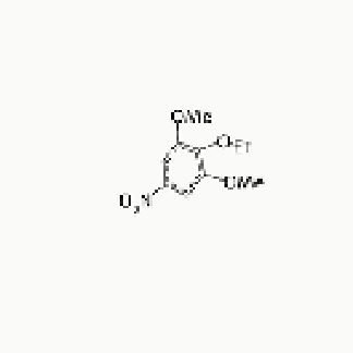 CCOc1c(OC)cc([N+](=O)[O-])cc1OC